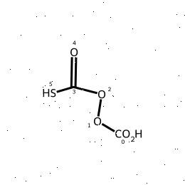 O=C(O)OOC(=O)S